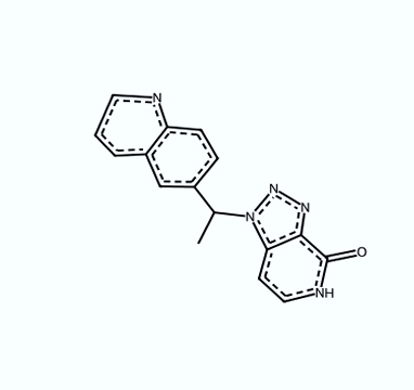 CC(c1ccc2ncccc2c1)n1nnc2c(=O)[nH]ccc21